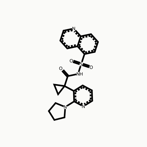 O=C(NS(=O)(=O)c1cccc2ncccc12)C1(c2cccnc2N2CCCC2)CC1